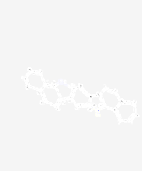 c1ccc2c(c1)ccc1c3cc4sc5c6ccccc6ccc5c4cc3[nH]c21